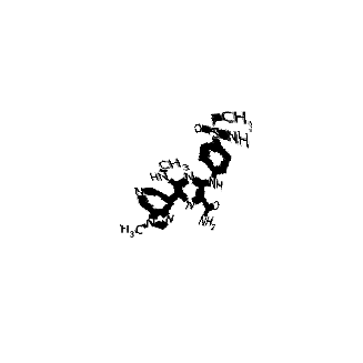 CC[S@@](=N)(=O)c1ccc(Nc2nc(NC)c(-c3cncc4c3ncn4C)nc2C(N)=O)cc1